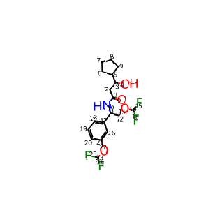 O=C(CC(O)C1CCCC1)NC(COC(F)F)c1cccc(OC(F)F)c1